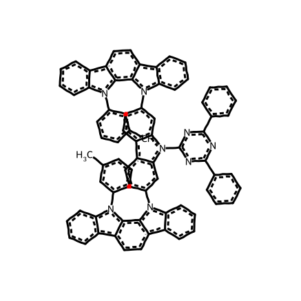 Cc1cccc(-n2c3ccccc3c3ccc4c5ccccc5n(-c5ccc6c7ccc(-n8c9ccccc9c9ccc%10c%11ccccc%11n(-c%11cccc(C)c%11)c%10c98)cc7n(-c7nc(-c8ccccc8)nc(-c8ccccc8)n7)c6c5)c4c32)c1